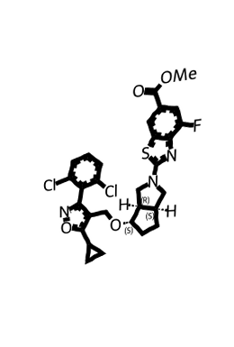 COC(=O)c1cc(F)c2nc(N3C[C@H]4CC[C@H](OCc5c(-c6c(Cl)cccc6Cl)noc5C5CC5)[C@H]4C3)sc2c1